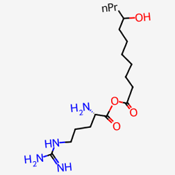 CCCC(O)CCCCCCC(=O)OC(=O)[C@@H](N)CCCNC(=N)N